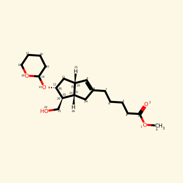 COC(=O)CCCCC1=C[C@H]2C[C@@H](OC3CCCCO3)[C@H](CO)[C@H]2C1